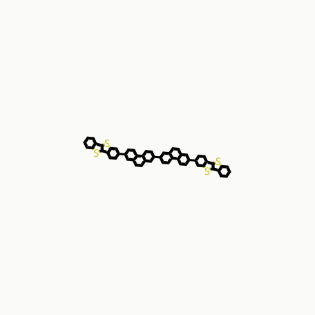 c1ccc2c(c1)sc1c3ccc(-c4ccc5c(ccc6cc(-c7ccc8c(ccc9cc(-c%10ccc%11c(c%10)sc%10c%12ccccc%12sc%11%10)ccc98)c7)ccc65)c4)cc3sc21